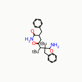 CC(C)(C)C(C(=O)CC(Cc1ccccc1)C(N)=O)C(Cc1ccccc1)(C(N)=O)C(C)(C)C